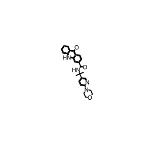 CC(C)(NC(=O)c1ccc2c(=O)c3ccccc3[nH]c2c1)c1ccc(N2CCOCC2)nc1